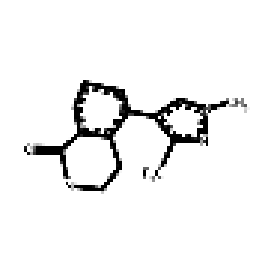 Cn1cc(-c2cccc3c2CCNC3=O)c(C(F)(F)F)n1